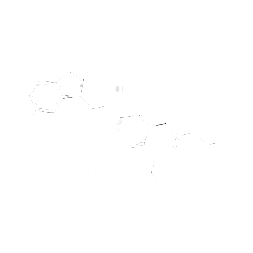 CCOC(=O)C[C@H](NC(=O)[C@@H](N)Cc1c[nH]c2ccc(O)cc12)C(=O)OCC.Cl